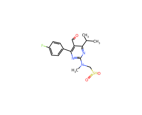 CC(C)c1nc(N(C)C[SH](=O)=O)nc(-c2ccc(F)cc2)c1C=O